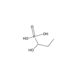 CCC(O)P(=O)(O)O